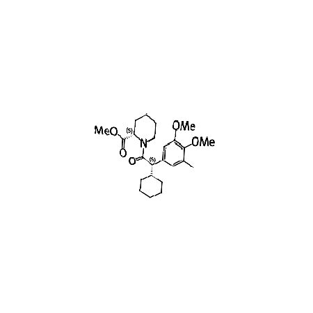 COC(=O)[C@@H]1CCCCN1C(=O)[C@H](c1cc(C)c(OC)c(OC)c1)C1CCCCC1